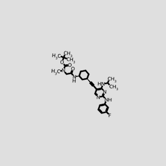 CC(C)Nc1nc(Nc2cccc(F)c2)ncc1C#C[C@@H]1CCC[C@H](NC(=O)CN(C)C(=O)OC(C)(C)C)C1